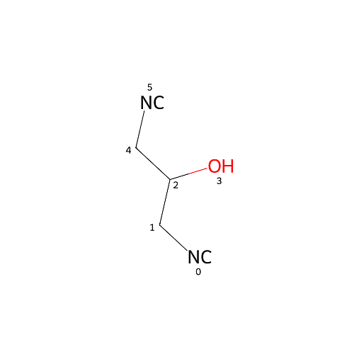 [C-]#[N+]CC(O)C[N+]#[C-]